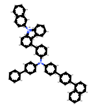 c1ccc(-c2ccc(N(c3ccc(-c4ccc(-c5cccc6ccccc56)cc4)cc3)c3cccc(-c4cccc5c4c4ccccc4n5-c4ccc5ccccc5c4)c3)cc2)cc1